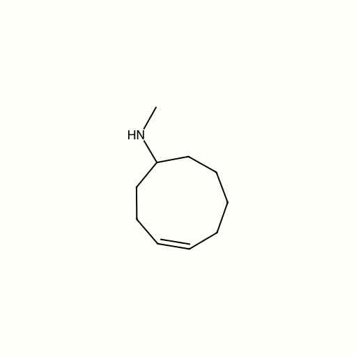 CNC1CC/C=C\CCCC1